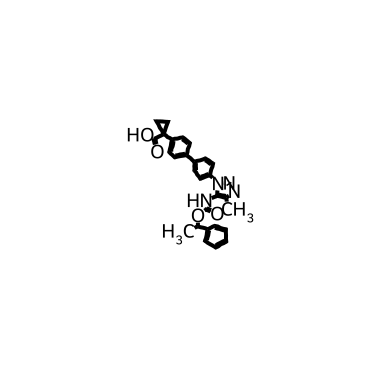 Cc1nnn(-c2ccc(-c3ccc(C4(C(=O)O)CC4)cc3)cc2)c1NC(=O)OC(C)c1ccccc1